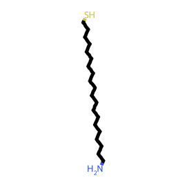 NCCCCCCCCCCCCCCCCCCCCS